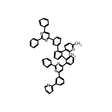 Cc1ccc(-c2c(-c3cccc(-c4cc(-c5ccccc5)nc(-c5ccccc5)n4)c3)cccc2-c2ccccc2-c2cc(-c3cccc(-c4ccccn4)c3)nc(-c3ccccc3)n2)c(C)n1